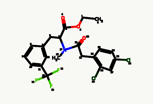 CCOC(=O)C(Cc1cccc(C(F)(F)F)c1)N(C)C(=O)Cc1ccc(Cl)cc1Cl